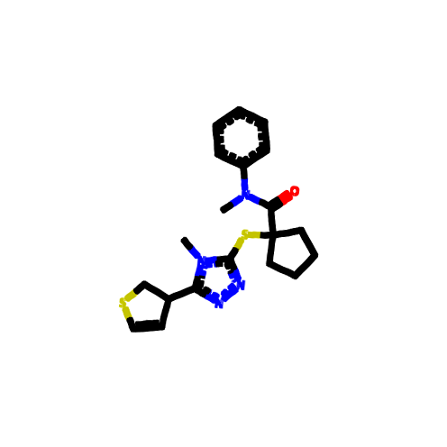 CN(C(=O)C1(Sc2nnc(C3C=CSC3)n2C)CCCC1)c1ccccc1